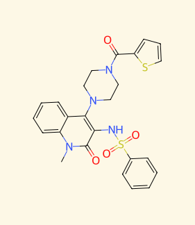 Cn1c(=O)c(NS(=O)(=O)c2ccccc2)c(N2CCN(C(=O)c3cccs3)CC2)c2ccccc21